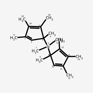 CC1=[C]C(C)([Si](C)(C)C2(C)[C]=C(C)C(C)=C2C)C(C)=C1C